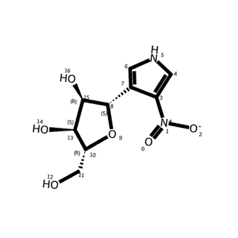 O=[N+]([O-])c1c[nH]cc1[C@@H]1O[C@H](CO)[C@@H](O)[C@H]1O